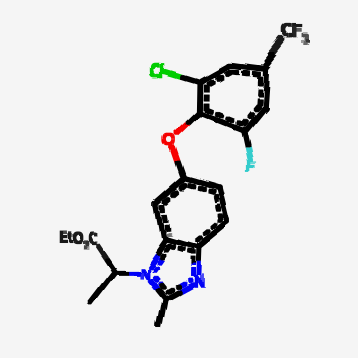 CCOC(=O)C(C)n1c(C)nc2ccc(Oc3c(F)cc(C(F)(F)F)cc3Cl)cc21